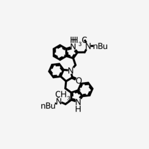 CCCCN(C)Cc1[nH]c2ccccc2c1CC1C(=O)N(Cc2c(CN(C)CCCC)[nH]c3ccccc23)c2ccccc21